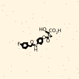 CN(C(=O)Oc1ccc(NC(=O)Cc2ccc(F)cc2)cc1)[C@H](CO)C(=O)O